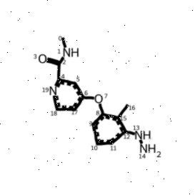 CNC(=O)c1cc(Oc2cccc(NN)c2C)ccn1